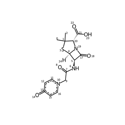 CC1(C)S[C@@H]2[C@H](NC(=O)Cn3ccc(=O)cc3)C(=O)N2[C@H]1C(=O)O